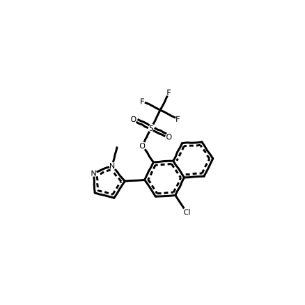 Cn1nccc1-c1cc(Cl)c2ccccc2c1OS(=O)(=O)C(F)(F)F